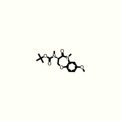 COc1ccc2c(c1)N(C)C(=O)[C@H](N(C)C(=O)OC(C)(C)C)CO2